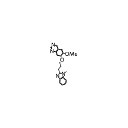 COc1cc2cncnc2cc1OCCCc1nc2ccccc2n1C